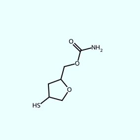 NC(=O)OCC1CC(S)CO1